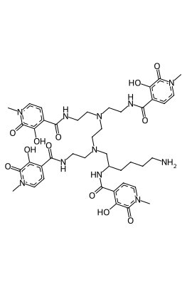 Cn1ccc(C(=O)NCCN(CCNC(=O)c2ccn(C)c(=O)c2O)CCN(CCNC(=O)c2ccn(C)c(=O)c2O)CC(CCCCN)NC(=O)c2ccn(C)c(=O)c2O)c(O)c1=O